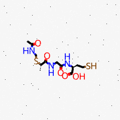 CC(=O)NCS[C@@H](C)C(=O)NCC(=O)N[C@@H](CCS)C(=O)O